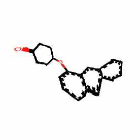 O=C1CCC(Oc2cccc3cc4ccccc4cc23)CC1